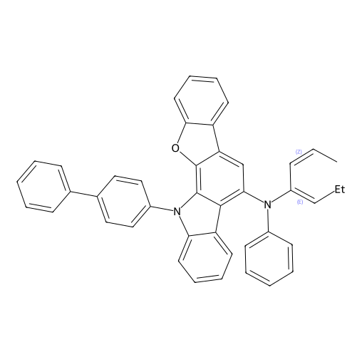 C/C=C\C(=C/CC)N(c1ccccc1)c1cc2c3ccccc3oc2c2c1c1ccccc1n2-c1ccc(-c2ccccc2)cc1